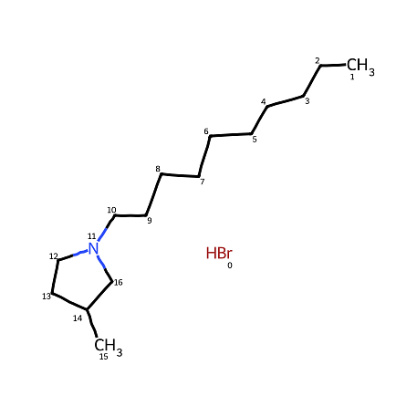 Br.CCCCCCCCCCN1CCC(C)C1